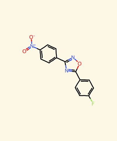 O=[N+]([O-])c1ccc(-c2noc(-c3ccc(F)cc3)n2)cc1